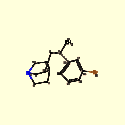 C[C](CC1CN2CCC1CC2)c1cccc(Br)c1